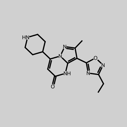 CCc1noc(-c2c(C)nn3c(C4CCNCC4)cc(=O)[nH]c23)n1